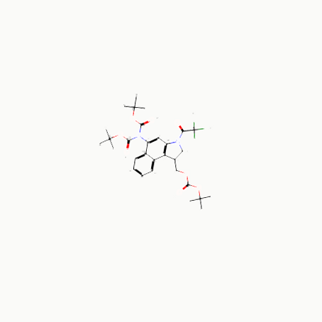 CC(C)(C)OC(=O)OCC1CN(C(=O)C(F)(F)F)c2cc(N(C(=O)OC(C)(C)C)C(=O)OC(C)(C)C)c3ccccc3c21